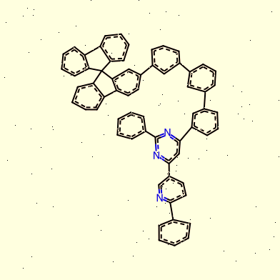 c1ccc(-c2ccc(-c3cc(-c4cccc(-c5cccc(-c6cccc(-c7ccc8c(c7)C7(c9ccccc9-c9ccccc97)c7ccccc7-8)c6)c5)c4)nc(-c4ccccc4)n3)cn2)cc1